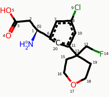 N[C@@H](CC(=O)O)c1cc(Cl)cc(C2(CF)CCOCC2)c1